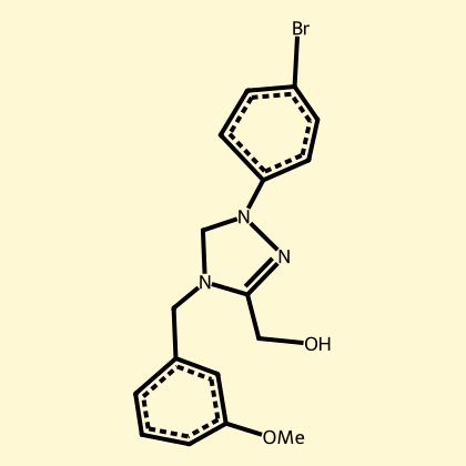 COc1cccc(CN2CN(c3ccc(Br)cc3)N=C2CO)c1